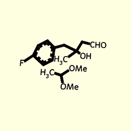 CC(O)(CC=O)Cc1ccc(F)cc1.COC(C)OC